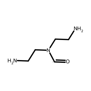 NCCN([C]=O)CCN